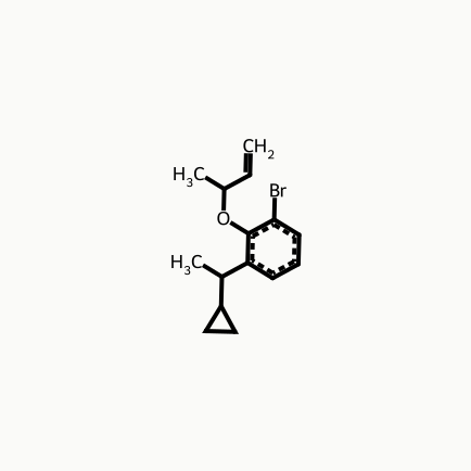 C=CC(C)Oc1c(Br)cccc1C(C)C1CC1